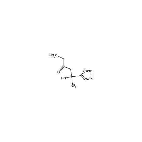 O=C(O)CC(=O)CC(O)(c1cccs1)C(F)(F)F